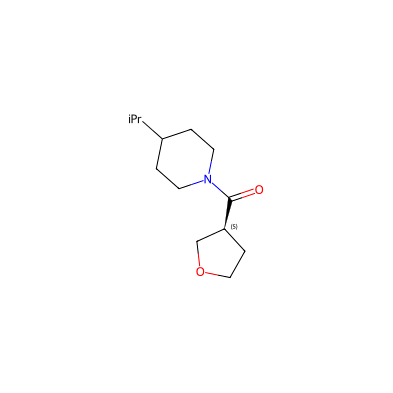 CC(C)C1CCN(C(=O)[C@H]2CCOC2)CC1